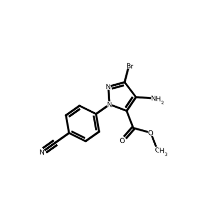 COC(=O)c1c(N)c(Br)nn1-c1ccc(C#N)cc1